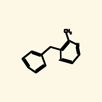 Cc1ncc[c]c1Cc1ccccc1